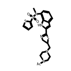 CC(=O)N1CCN(CC2CN=C(c3cc4cccc(N(C)S(=O)(=O)c5cccs5)c4[nH]3)S2)CC1